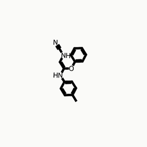 Cc1ccc(NC(=CNC#N)Oc2ccccc2)cc1